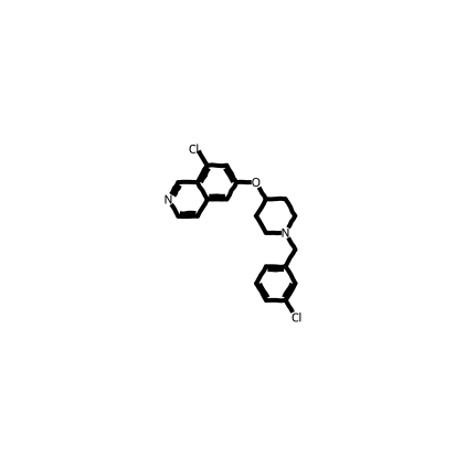 Clc1cccc(CN2CCC(Oc3cc(Cl)c4cnccc4c3)CC2)c1